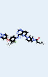 C=CC(=O)N1CC2(CCN(c3ccc4ncnc(Nc5ccc(Oc6ccn7ncnc7c6)c(C)c5F)c4n3)C2)C1